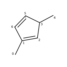 CC1=CC(C)[C]=C1